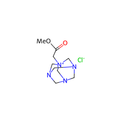 COC(=O)C[N+]12CN3CN(CN(C3)C1)C2.[Cl-]